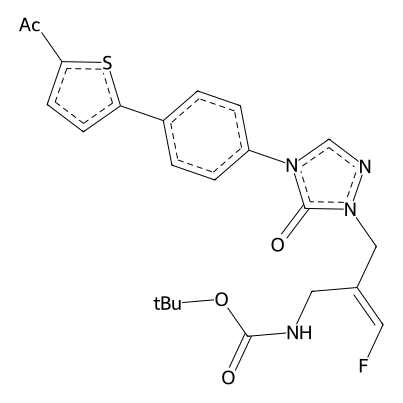 CC(=O)c1ccc(-c2ccc(-n3cnn(CC(=CF)CNC(=O)OC(C)(C)C)c3=O)cc2)s1